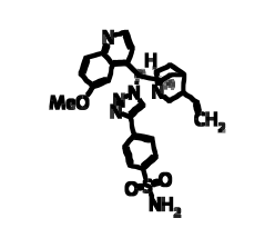 C=CC1CN2CCC1C[C@@H]2[C@@H](c1ccnc2ccc(OC)cc12)n1cc(-c2ccc(S(N)(=O)=O)cc2)nn1